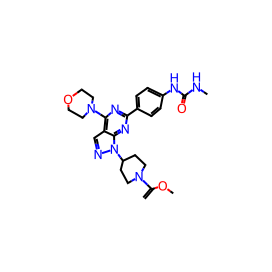 C=C(OC)N1CCC(n2ncc3c(N4CCOCC4)nc(-c4ccc(NC(=O)NC)cc4)nc32)CC1